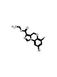 CCOC(=O)c1ncn2c1COc1c(F)cc(Br)cc1-2